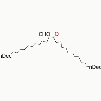 CCCCCCCCCCCCCCCCCCCCCC(=O)C([C]=O)CCCCCCCCCCCCCCCCCCCC